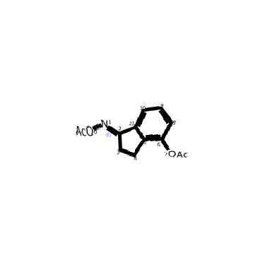 CC(=O)O/N=C1\CCc2c(OC(C)=O)cccc21